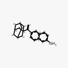 C=C(c1ccc2cc([SiH3])ccc2c1)C12CC3CC(CC(C3)C1)C2